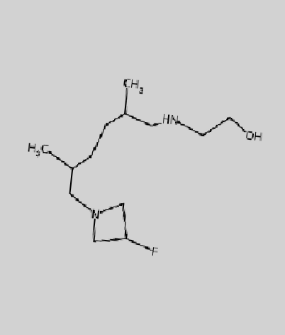 CC(CCC(C)CN1CC(F)C1)CNCCO